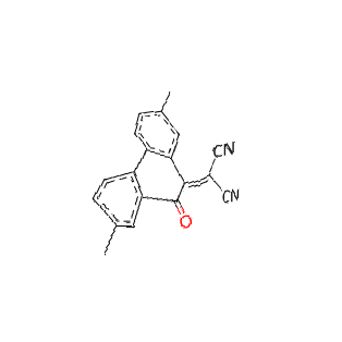 Cc1ccc2c(c1)C(=O)C(=C(C#N)C#N)c1cc(C)ccc1-2